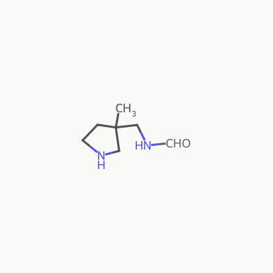 CC1(CNC=O)CCNC1